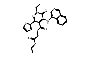 CCOC(=O)COC(=O)c1c(-c2cccs2)nn(CC)c(=O)c1Nc1cncc2ccccc12